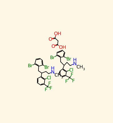 CNCCC(Cc1c(Br)cccc1Br)c1cccc(C(F)(F)F)c1Cl.CNCCC(Cc1c(Br)cccc1Br)c1cccc(C(F)(F)F)c1Cl.O=C(O)CC(=O)O